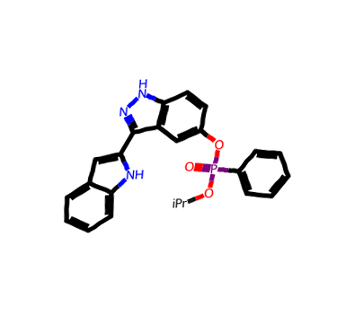 CC(C)OP(=O)(Oc1ccc2[nH]nc(-c3cc4ccccc4[nH]3)c2c1)c1ccccc1